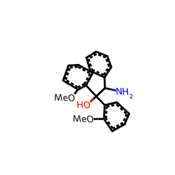 COc1ccccc1C(O)(c1ccccc1OC)C(N)c1ccccc1